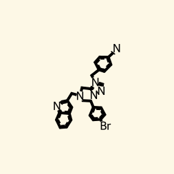 N#Cc1ccc(Cn2cnnc2CN(CCc2ccc(Br)cc2)Cc2cnc3ccccc3c2)cc1